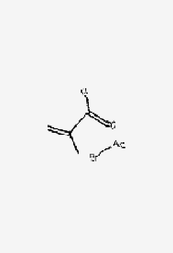 C=C(C)C(=O)Cl.CC(=O)Br